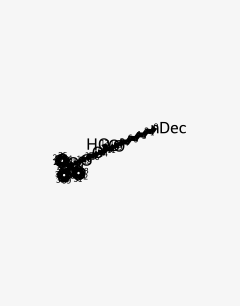 CCCCCCCCCCCCCCCCCCOOCC(O)COCCOCCOC(c1ccccc1)(c1ccccc1)c1ccccc1